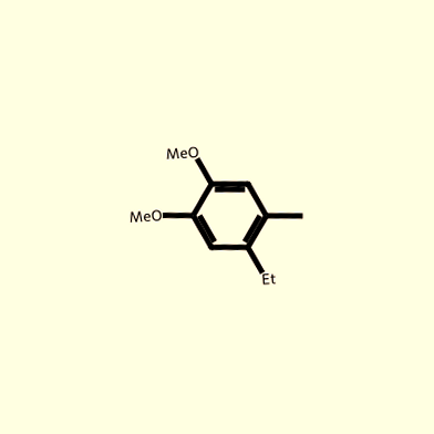 CCc1cc(OC)c(OC)cc1C